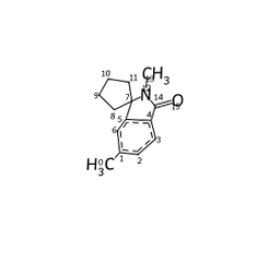 Cc1ccc2c(c1)C1(CCCC1)N(C)C2=O